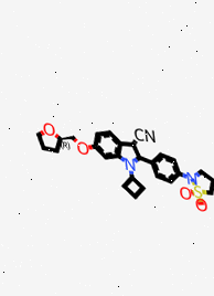 N#CC1c2ccc(OC[C@H]3CCCO3)cc2N(C2CCC2)C1c1ccc(N2CCCS2(=O)=O)cc1